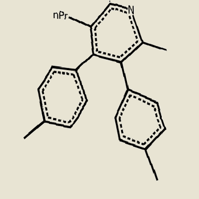 CCCc1[c]nc(C)c(-c2ccc(C)cc2)c1-c1ccc(C)cc1